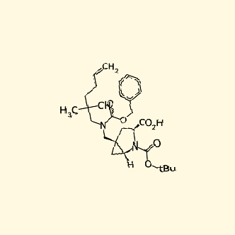 C=CCCC(C)(C)CN(C[C@@]12C[C@@H](C(=O)O)N(C(=O)OC(C)(C)C)[C@@H]1C2)C(=O)OCc1ccccc1